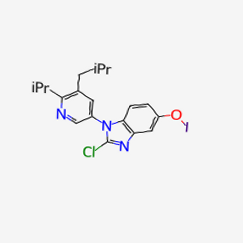 CC(C)Cc1cc(-n2c(Cl)nc3cc(OI)ccc32)cnc1C(C)C